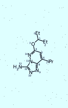 CCC(CC)Oc1cc(C(C)C)c2nnc(N)n2n1